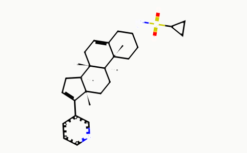 C[C@]12CC[C@@H](NS(=O)(=O)C3CC3)CC1=CC[C@@H]1[C@@H]2CC[C@]2(C)C(c3cccnc3)=CC[C@@H]12